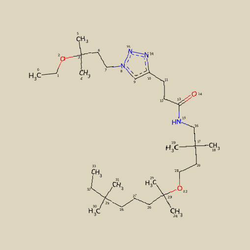 CCOC(C)(C)CCn1cc(CCC(=O)NCC(C)(C)CCOC(C)(C)CCCC(C)(C)CC)nn1